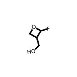 OCC1COC1F